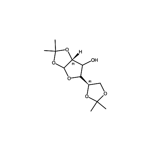 CC1(C)OC2OC([C@H]3COC(C)(C)O3)C(O)[C@H]2O1